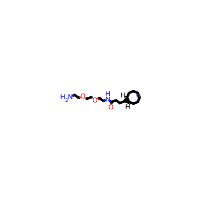 NCCOCCOCCNC(=O)CCC1[C@H]2CC/C=C\CC[C@@H]12